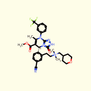 COC(=O)C1=C(C)N(c2cccc(C(F)(F)F)c2)c2n[nH]c(=O)n2[C@@H]1c1ccc(C#N)cc1CC[N+](C)(C)CC1CCOCC1